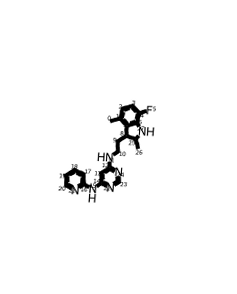 Cc1ccc(F)c2c1C(CCNc1cc(Nc3ccccn3)ncn1)C(C)N2